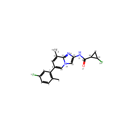 Cc1ccc(F)cc1-c1cc(C(F)(F)F)c2nc(NC(=O)C3CC3F)cn2c1